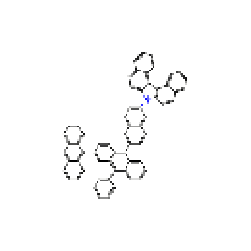 c1ccc(-c2c3ccccc3c(-c3ccc4cc(-n5c6ccc7ccccc7c6c6c7ccccc7ccc65)ccc4c3)c3ccc(-c4c5ccccc5cc5ccccc45)cc23)cc1